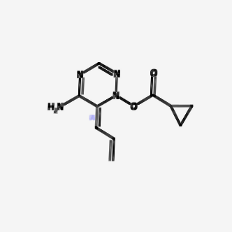 C=C/C=C1/C(N)=NC=NN1OC(=O)C1CC1